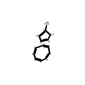 C1=CC=CC=CC=C1.[Ti][C]1=CC=CC1